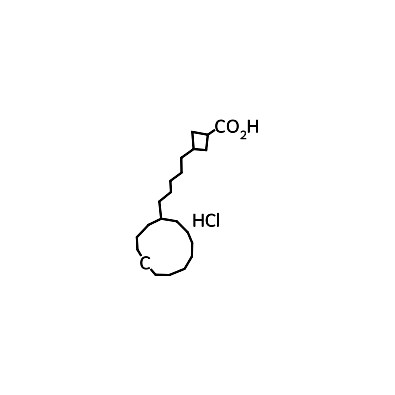 Cl.O=C(O)C1CC(CCCCCC2CCCCCCCCCCC2)C1